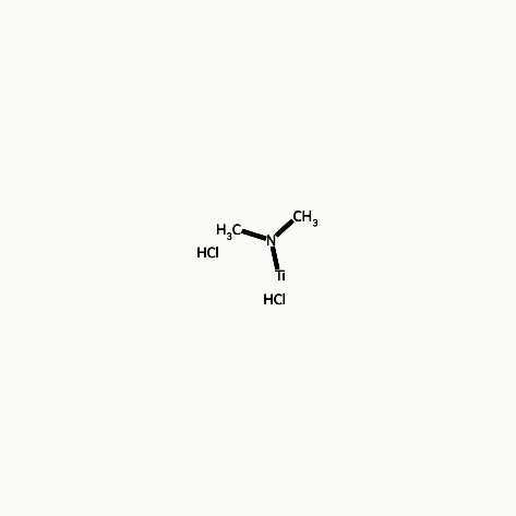 C[N](C)[Ti].Cl.Cl